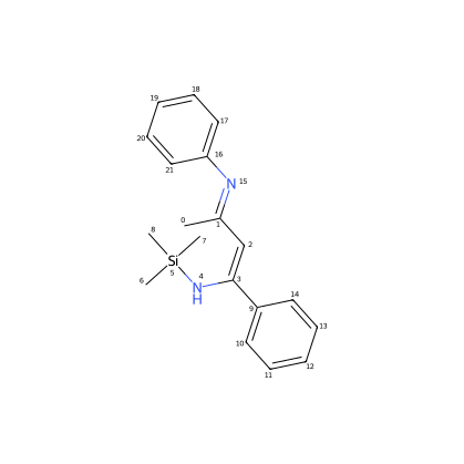 CC(/C=C(\N[Si](C)(C)C)c1ccccc1)=N\c1ccccc1